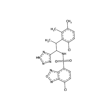 Cc1ccc(Cl)c(C(C)C(NS(=O)(=O)c2ccc(Cl)c3nonc23)c2nn[nH]n2)c1C